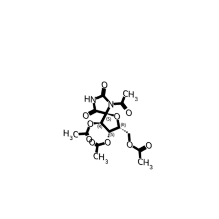 CC(=O)OC[C@H]1O[C@]2(C(=O)NC(=O)N2C(C)=O)[C@H](OC(C)=O)[C@H]1OC(C)=O